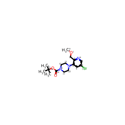 COCc1ncc(Br)cc1N1CCN(C(=O)OC(C)(C)C)CC1